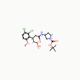 COc1ccc(Cl)c(Cl)c1C(CCO)CC(=O)NC1CCN(C(=O)OC(C)(C)C)C1